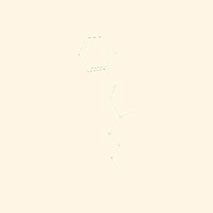 CCCCC(I)CCc1ccccc1